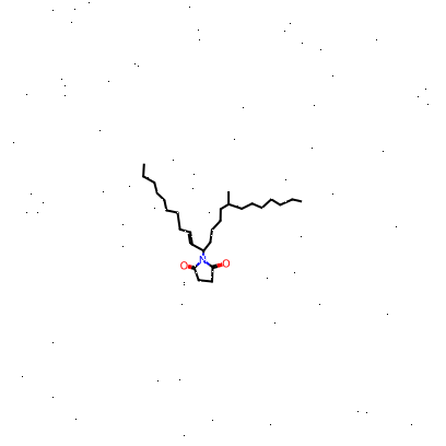 CCCCCCCCC=CC(CCCCC(C)CCCCCCC)N1C(=O)CCC1=O